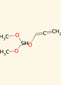 C=C=CO[SiH](OC)OC